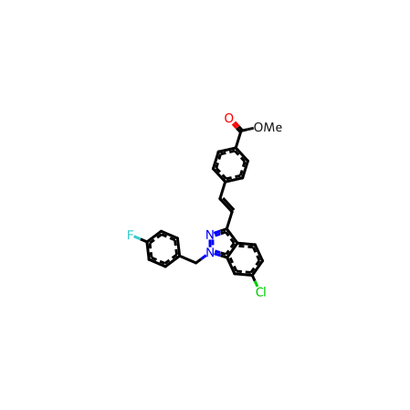 COC(=O)c1ccc(C=Cc2nn(Cc3ccc(F)cc3)c3cc(Cl)ccc23)cc1